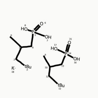 CC(CC(C)(C)C)CP(=O)(O)O.CC(CC(C)(C)C)CP(=O)(O)O.[K]